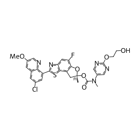 COc1cnc2c(-c3nc4cc(F)c5c(c4s3)C[C@@](C)(OC(=O)N(C)c3cnc(OCCO)nc3)O5)cc(Cl)cc2c1